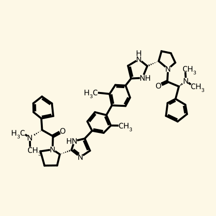 Cc1cc(C2=CNC([C@@H]3CCCN3C(=O)[C@@H](c3ccccc3)N(C)C)N2)ccc1-c1ccc(-c2cnc([C@@H]3CCCN3C(=O)[C@@H](c3ccccc3)N(C)C)[nH]2)cc1C